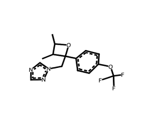 CC1OC(Cn2cncn2)(c2ccc(OC(F)(F)F)cc2)C1C